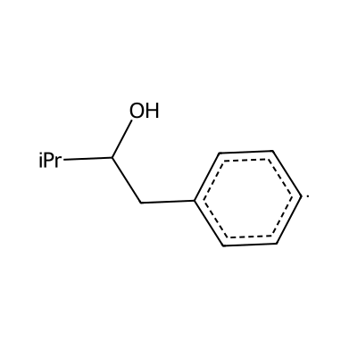 CC(C)C(O)Cc1cc[c]cc1